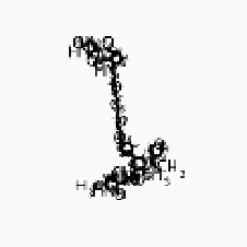 CCN(c1cc(-c2ccc(OCCOCCOCCOCCNc3cccc4c3C(=O)N(C3CCC(=O)NC3=O)C4=O)cc2)cc(C(=O)NCc2c(C)cc(C)[nH]c2=O)c1C)C1CCOCC1